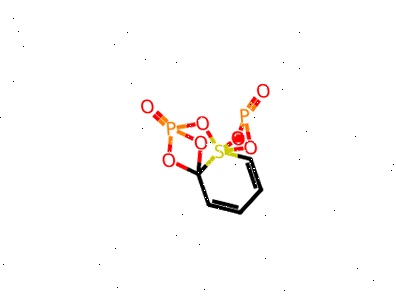 O=P12OC3(C=CC=CS345(O1)OP(=O)(O4)O5)O2